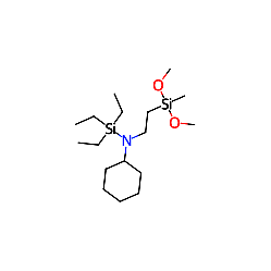 CC[Si](CC)(CC)N(CC[Si](C)(OC)OC)C1CCCCC1